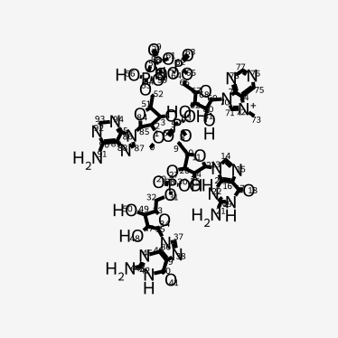 COC1C(OP(=O)(O)OCC2OC(n3cnc4c(=O)[nH]c(N)nc43)C(O)C2OP(=O)(O)OCC2OC(n3cnc4c(=O)[nH]c(N)nc43)C(O)C2O)C(COP(=O)(O)OP(=O)([O-])OP(=O)(O)OCC2OC(n3c[n+](C)c4cncnc43)C(O)C2O)OC1n1cnc2c(N)ncnc21